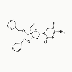 Nc1nc(=O)n([C@H]2C[C@H](OCc3ccccc3)[C@@](CF)(COCc3ccccc3)O2)cc1F